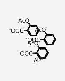 CC(=O)Oc1ccccc1C(=O)[O-].CC(=O)Oc1ccccc1C(=O)[O-].CC(=O)Oc1ccccc1C(=O)[O-].[Al+3]